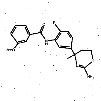 COc1cccc(C(=O)Nc2cc(C3(C)CCSC(N)=N3)ccc2F)c1